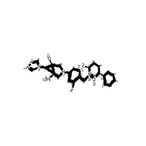 Fc1cc(N2C[C@@H]3C(n4cnnc4)[C@@H]3C2)ccc1CN1S[C@H](c2ccccc2)CC[C@@H]1C(F)(F)F